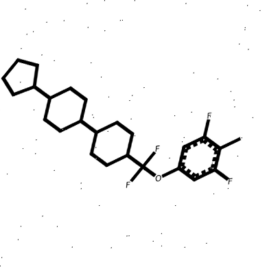 Cc1c(F)cc(OC(F)(F)C2CCC(C3CCC(C4CCCC4)CC3)CC2)cc1F